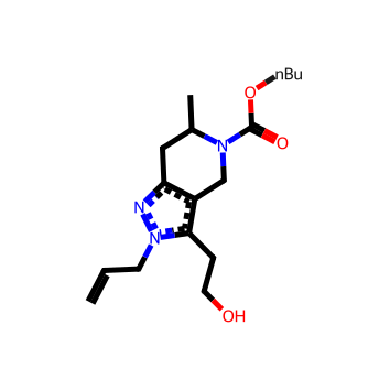 C=CCn1nc2c(c1CCO)CN(C(=O)OCCCC)C(C)C2